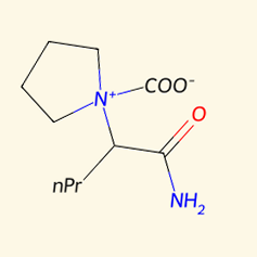 CCCC(C(N)=O)[N+]1(C(=O)[O-])CCCC1